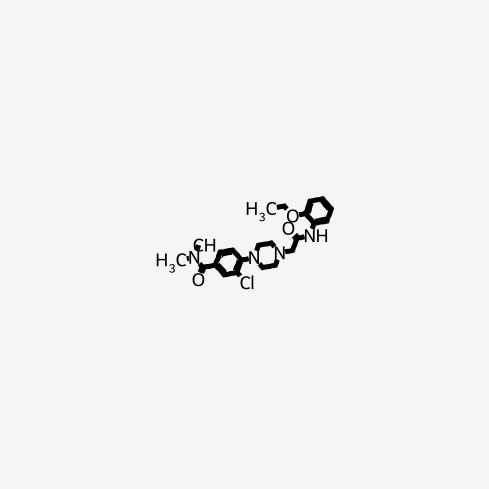 CCOc1ccccc1NC(=O)CN1CCN(c2ccc(C(=O)N(C)C)cc2Cl)CC1